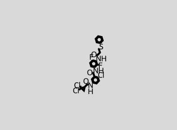 O=C(CCSc1ccccc1)Nc1c(F)ccc(NC(=O)c2cc(NC(=O)C3CC3(Cl)Cl)ccc2Cl)c1F